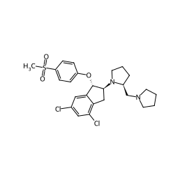 CS(=O)(=O)c1ccc(O[C@H]2c3cc(Cl)cc(Cl)c3C[C@@H]2N2CCC[C@H]2CN2CCCC2)cc1